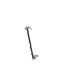 CCCC(CO)CCCCCCCCCCCCCCCCCCCCCCCCCCC(N)=O